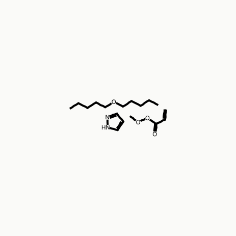 C=CC(=O)OOC.CCCCCOCCCCC.c1cn[nH]c1